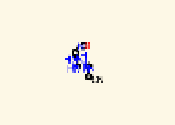 N#Cc1cccc(-c2nccc(Nc3c[nH]nc3-c3nc4cc(CN5CCOCC5)ccc4[nH]3)n2)c1